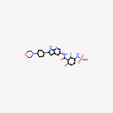 CCCS(=O)(=O)Nc1ccc(F)c(C(=O)Nc2cnc3[nH]c(-c4ccc(N5CCOCC5)cc4)cc3c2)c1F